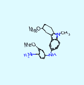 COc1cc(Nc2ccc3c(c2)c2c(n3C)CCC(OC)C2)ccc1N